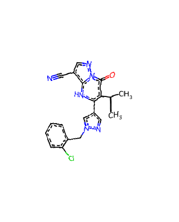 CC(C)c1c(-c2cnn(Cc3ccccc3Cl)c2)[nH]c2c(C#N)cnn2c1=O